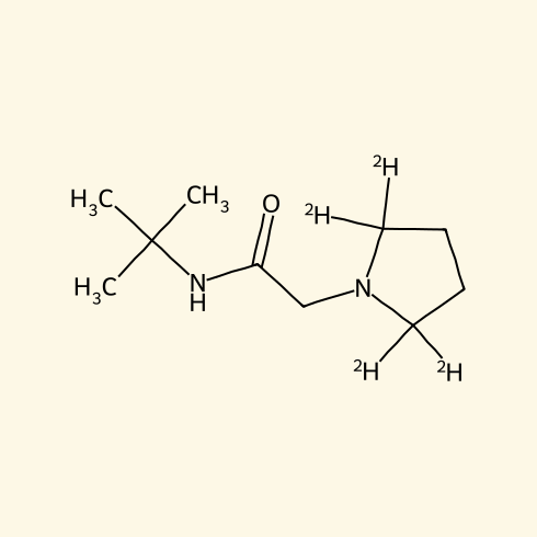 [2H]C1([2H])CCC([2H])([2H])N1CC(=O)NC(C)(C)C